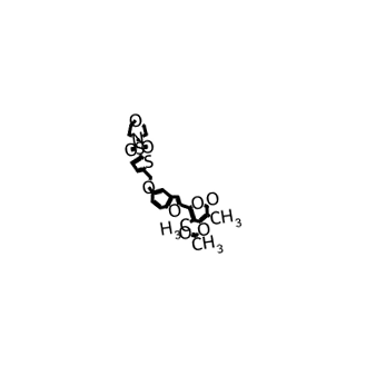 CC(=O)Oc1c(C)c(-c2cc3cc(OCc4ccc(S(=O)(=O)N5CCOCC5)s4)ccc3o2)oc(=O)c1C